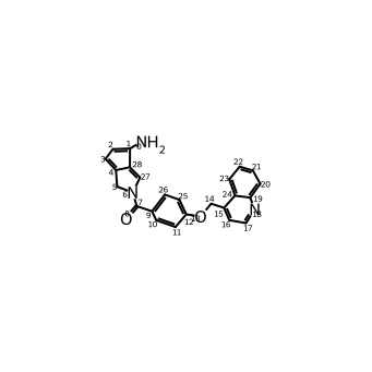 NC1=CC=C2CN(C(=O)c3ccc(OCc4ccnc5ccccc45)cc3)C=C12